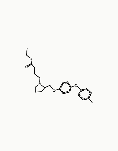 CCOC(=O)CCCN1CCCC1COc1ccc(Oc2ccc(C)cc2)cc1